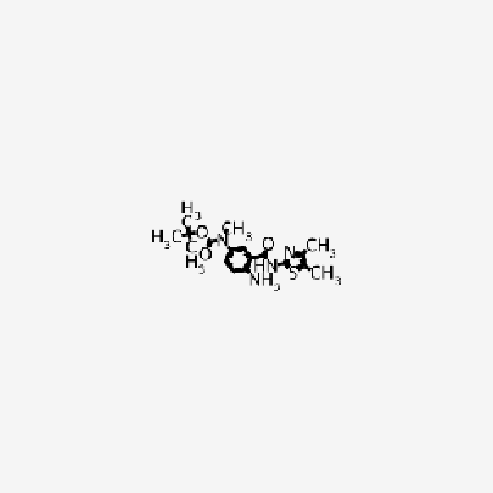 Cc1nc(NC(=O)c2cc(N(C)C(=O)OC(C)(C)C)ccc2N)sc1C